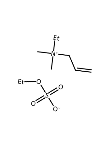 C=CC[N+](C)(C)CC.CCOS(=O)(=O)[O-]